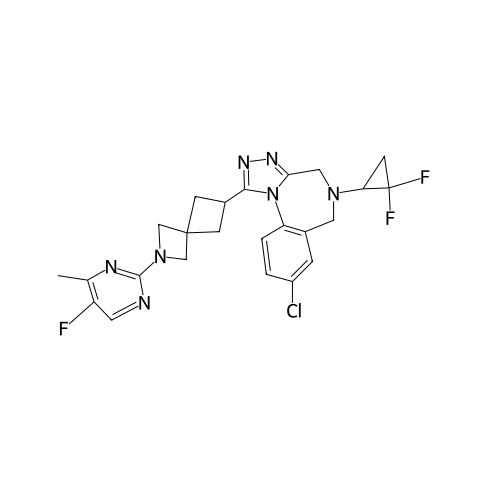 Cc1nc(N2CC3(CC(c4nnc5n4-c4ccc(Cl)cc4CN(C4CC4(F)F)C5)C3)C2)ncc1F